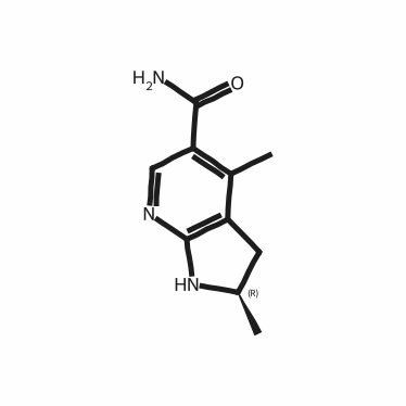 Cc1c(C(N)=O)cnc2c1C[C@@H](C)N2